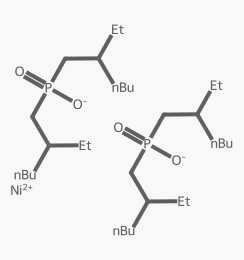 CCCCC(CC)CP(=O)([O-])CC(CC)CCCC.CCCCC(CC)CP(=O)([O-])CC(CC)CCCC.[Ni+2]